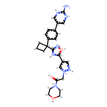 Nc1ncc(-c2ccc(C3(c4noc(-c5cnn(CC(=O)N6CCOCC6)c5)n4)CCC3)cc2)cn1